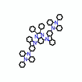 c1ccc(-c2nc3c(-n4c5ccccc5c5cc(N6c7ccccc7N(c7ccccc7)c7ccccc76)ccc54)ccc(-n4c5ccccc5c5cc(N6c7ccccc7N(c7ccccc7)c7ccccc76)ccc54)c3nc2-c2ccccc2)cc1